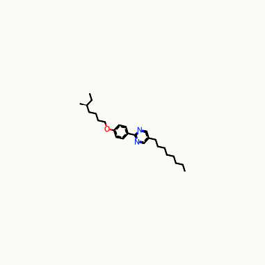 CCCCCCCCc1cnc(-c2ccc(OCCCC[C@@H](C)CC)cc2)nc1